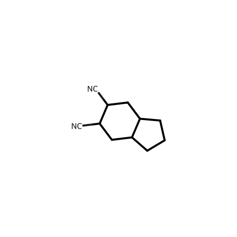 N#CC1CC2CCCC2CC1C#N